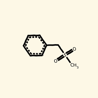 CS(=O)(=O)Cc1[c]cccc1